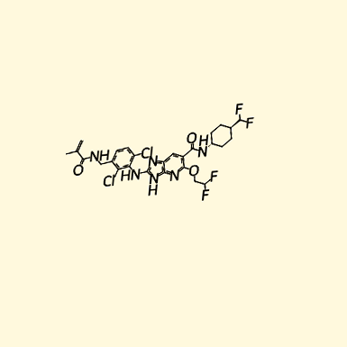 C=C(C)C(=O)NCc1ccc(Cl)c(Nc2nc3cc(C(=O)N[C@H]4CC[C@H](C(F)F)CC4)c(OCC(F)F)nc3[nH]2)c1Cl